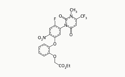 CCOC(=O)COc1ccccc1Oc1cc(-n2c(=O)cc(C(F)(F)F)n(C)c2=O)c(F)cc1[N+](=O)[O-]